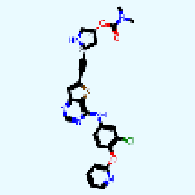 CN(C)C(=O)O[C@H]1CN[C@H](C#Cc2cc3ncnc(Nc4ccc(Oc5ccccn5)c(Cl)c4)c3s2)C1